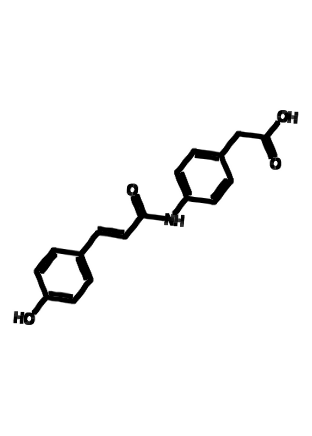 O=C(O)Cc1ccc(NC(=O)C=Cc2ccc(O)cc2)cc1